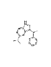 CC(C)c1ccc2[nH]cc(C(C)c3ccccc3)c2c1